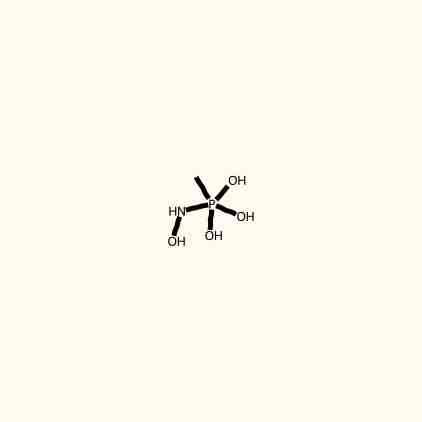 CP(O)(O)(O)NO